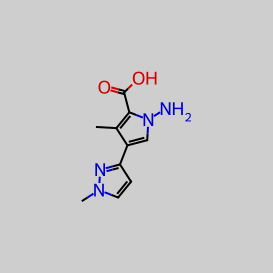 Cc1c(-c2ccn(C)n2)cn(N)c1C(=O)O